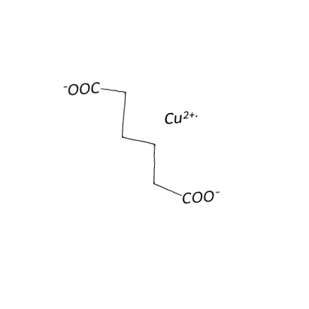 O=C([O-])CCCCC(=O)[O-].[Cu+2]